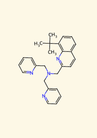 CC(C)(C)c1cccc2ccc(CN(Cc3ccccn3)Cc3ccccn3)nc12